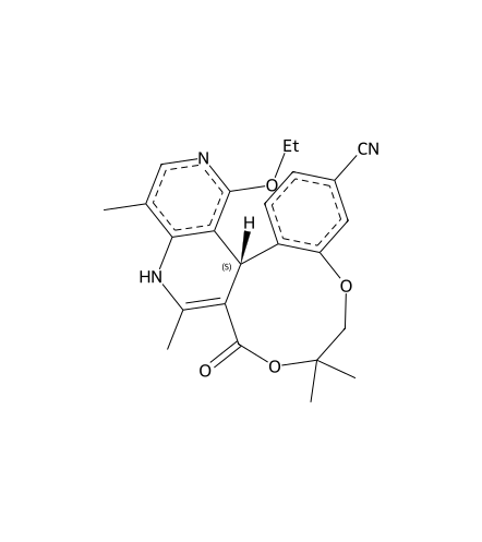 CCOc1ncc(C)c2c1[C@H]1C(=C(C)N2)C(=O)OC(C)(C)COc2cc(C#N)ccc21